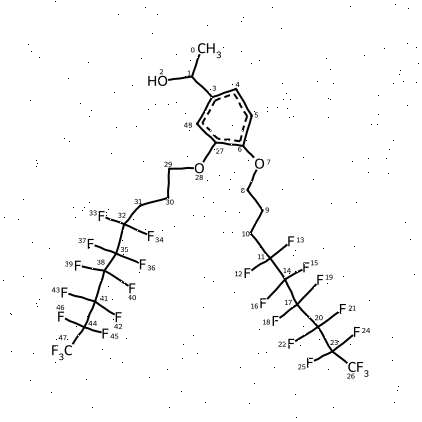 CC(O)c1ccc(OCCCC(F)(F)C(F)(F)C(F)(F)C(F)(F)C(F)(F)C(F)(F)F)c(OCCCC(F)(F)C(F)(F)C(F)(F)C(F)(F)C(F)(F)C(F)(F)F)c1